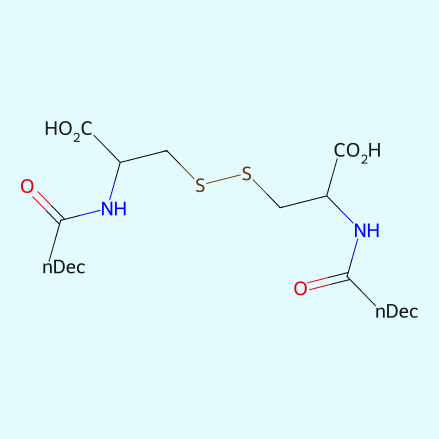 CCCCCCCCCCC(=O)NC(CSSCC(NC(=O)CCCCCCCCCC)C(=O)O)C(=O)O